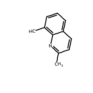 [CH]c1cccc2ccc(C)nc12